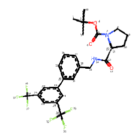 CC(C)(C)OC(=O)N1CCC[C@H]1C(=O)NCc1cccc(-c2cc(C(F)(F)F)cc(C(F)(F)F)c2)c1